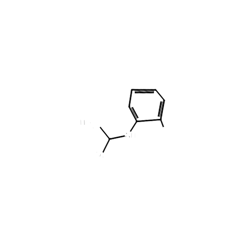 CC(C)(C)C(Nc1ccccc1F)C(=O)O